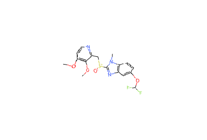 COc1ccnc(C[S@+]([O-])c2nc3cc(OC(F)F)ccc3n2C)c1OC